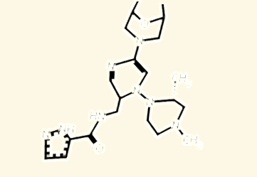 C[C@@H]1CN(C)CCN1N1C=C(N2CC3CCC(C2)O3)N=CC1CNC(=O)c1ccn[nH]1